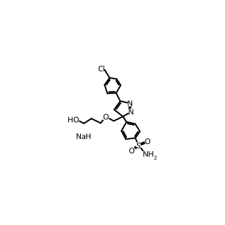 NS(=O)(=O)c1ccc(C2(COCCCO)C=C(c3ccc(Cl)cc3)N=N2)cc1.[NaH]